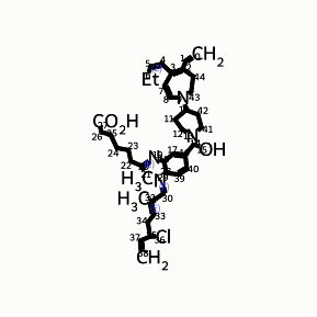 C=CC1=C(/C=C\CC)C=CN(C2CCN(C(O)C3=CC(/N=C(\C)CCCCCC(=O)O)C(/N=C/C(C)=C/CC(Cl)C=C)C=C3)CC2)CC1